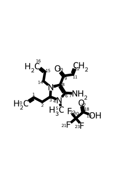 C=CCC1N(C)C(N)=C(C(=O)C=C)N1CC=C.O=C(O)C(F)(F)F